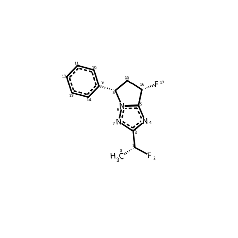 C[C@@H](F)c1nc2n(n1)[C@H](c1ccccc1)C[C@@H]2F